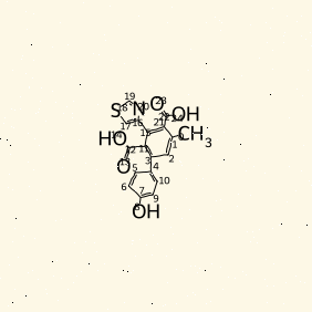 Cc1cc(-c2ccc(O)cc2)c(C(=O)O)c(-c2cscn2)c1C(=O)O